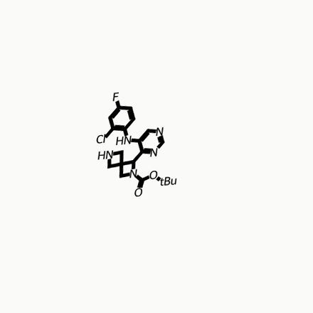 CC(C)(C)OC(=O)N1CC2(CNC2)C1c1ncncc1Nc1ccc(F)cc1Cl